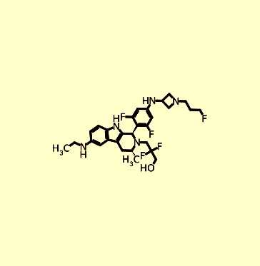 CCNc1ccc2[nH]c3c(c2c1)C[C@@H](C)N(CC(F)(F)CO)[C@@H]3c1c(F)cc(NC2CN(CCCF)C2)cc1F